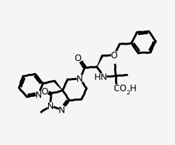 CN1N=C2CCN(C(=O)[C@@H](COCc3ccccc3)NC(C)(C)C(=O)O)C[C@@]2(Cc2ccccn2)C1=O